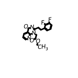 CCOC(=O)Cn1c(CCc2cccc(F)c2F)nc(=O)c2cccnc21